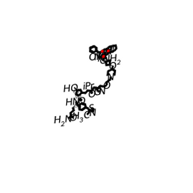 Cc1ncsc1-c1ccc([C@H](CCCC(N)=O)NC(=O)[C@@H]2C[C@@H](O)CC2CCC(=O)[C@H](c2cc(OCCN3CCC(O[C@H]4C[C@H](Oc5cc(N6C7CCC6CN(c6cc(-c8ccccc8O)nnc6N)C7)ccn5)C4)CC3)no2)C(C)C)cc1